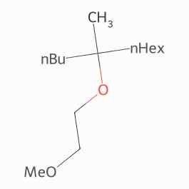 CCCCCCC(C)(CCCC)OCCOC